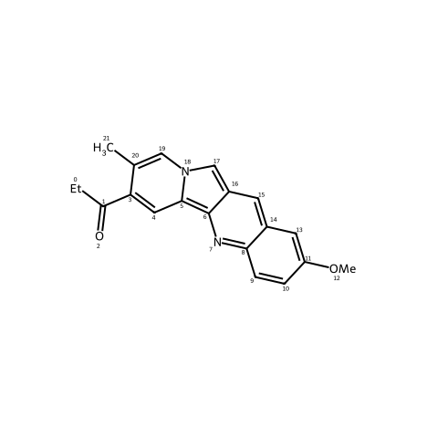 CCC(=O)c1cc2c3nc4ccc(OC)cc4cc3cn2cc1C